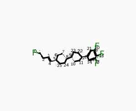 FCCC=C[C@H]1CC[C@H]([C@H]2CC[C@H](c3cc(F)c(F)c(F)c3)CC2)CC1